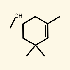 CC1=CC(C)(C)CCC1.CO